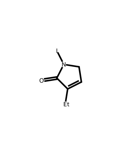 CCC1=CCN(I)C1=O